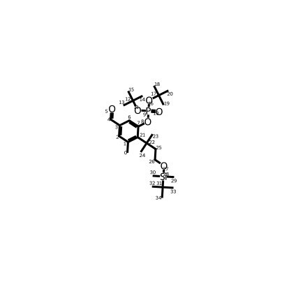 Cc1cc(C=O)cc(OP(=O)(OC(C)(C)C)OC(C)(C)C)c1C(C)(C)CCO[Si](C)(C)C(C)(C)C